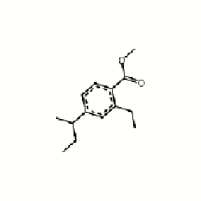 CCc1cc(C(C)CC)ccc1C(=O)OC